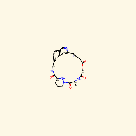 C[C@@H]1NC(=O)COC(=O)C/C=C/c2cc3cc(ccc3cn2)[C@@H](C)NC(=O)[C@@H]2CCCN(N2)C1=O